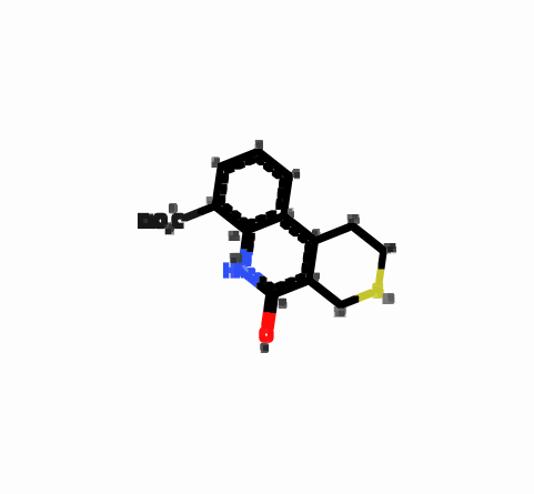 CCOC(=O)c1cccc2c3c(c(=O)[nH]c12)CSCC3